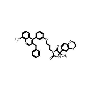 CC1(c2ccc3c(c2)OCCO3)NC(=O)N(CCCOc2cccc(-c3c(Cc4ccccc4)cnc4c(C(F)(F)F)cccc34)c2)C1=O